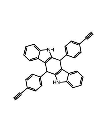 C#Cc1ccc(C2c3[nH]c4ccccc4c3C(c3ccc(C#C)cc3)c3[nH]c4ccccc4c32)cc1